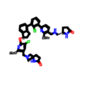 COc1nc(-c2cccc(-c3cccc4c3CC[C@@H]4Oc3nc(OC)c(CN4CC5(CCC(=O)N5)C4)cc3Cl)c2Cl)ccc1CNC[C@@H]1CCC(=O)N1